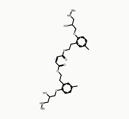 Cc1ccc(OCC(O)CNC(C)(C)C)c(CCOC(=O)/C=C\C(=O)OCCc2cc(C)ccc2OCC(O)CNC(C)(C)C)c1